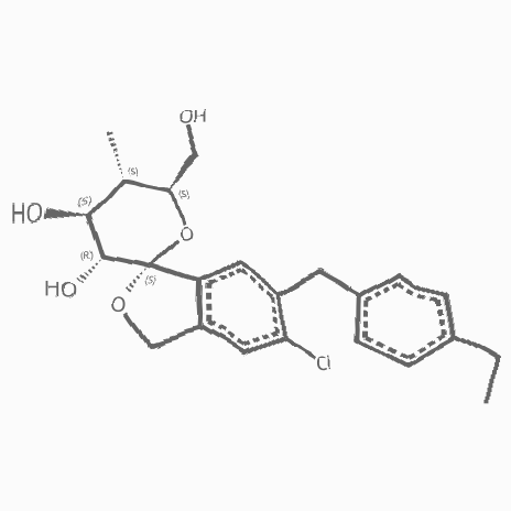 CCc1ccc(Cc2cc3c(cc2Cl)CO[C@]32O[C@H](CO)[C@@H](C)[C@H](O)[C@H]2O)cc1